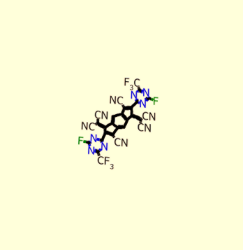 N#CC(C#N)=C1C(c2nc(F)nc(C(F)(F)F)n2)=C(C#N)c2cc3c(cc21)C(C#N)=C(c1nc(F)nc(C(F)(F)F)n1)C3=C(C#N)C#N